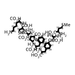 CC(C)C(N)C(=O)O.CCC(C)C(N)C(=O)O.CSCCC(N)C(=O)O.NC(CS)C(=O)O.NC(Cc1ccc(O)cc1)C(=O)O.NC(Cc1ccccc1)C(=O)O.NCCCCC(N)C(=O)O.O=C(O)[C@@H]1CCCN1